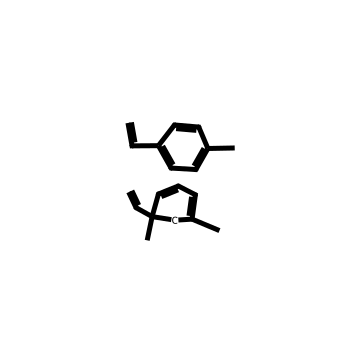 C=CC1(C)C=CC=C(C)C1.C=Cc1ccc(C)cc1